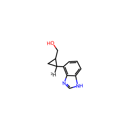 [2H]C1(c2cccc3[nH]cnc23)CC1CO